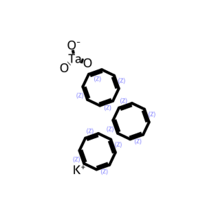 C1=C\C=C/C=C\C=C/1.C1=C\C=C/C=C\C=C/1.C1=C\C=C/C=C\C=C/1.[K+].[O]=[Ta](=[O])[O-]